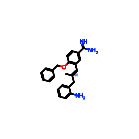 C/C(=C\c1cc(C(=N)N)ccc1OCc1ccccc1)Cc1ccccc1N